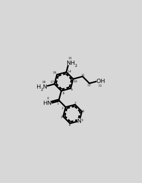 N=C(c1ccncc1)c1cc(CCO)c(N)cc1N